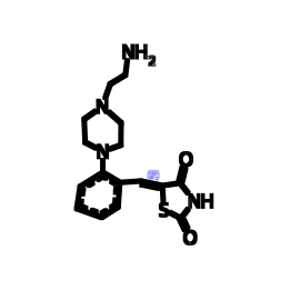 NCCN1CCN(c2ccccc2/C=C2\SC(=O)NC2=O)CC1